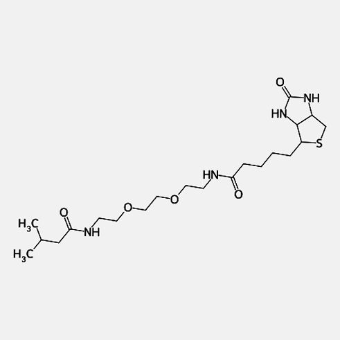 CC(C)CC(=O)NCCOCCOCCNC(=O)CCCCC1SCC2NC(=O)NC21